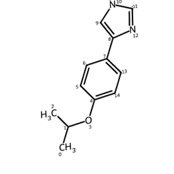 CC(C)Oc1ccc(-c2c[nH][c]n2)cc1